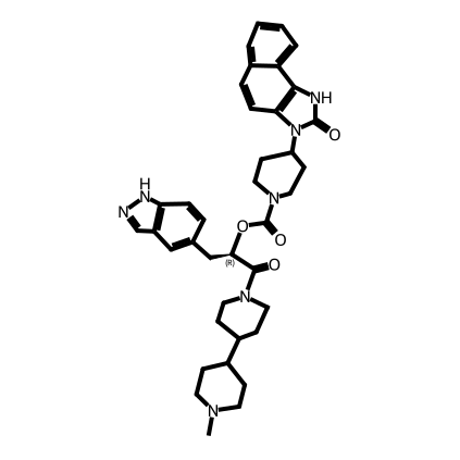 CN1CCC(C2CCN(C(=O)[C@@H](Cc3ccc4[nH]ncc4c3)OC(=O)N3CCC(n4c(=O)[nH]c5c6ccccc6ccc54)CC3)CC2)CC1